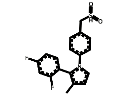 Cc1ccn(-c2ccc(C[SH](=O)=O)cc2)c1-c1ccc(F)cc1F